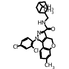 Cc1ccc2c(c1)OCc1c(C(=O)NCC3CCC4CC3C4(C)C)nn(-c3ccc(Cl)cc3Cl)c1-2